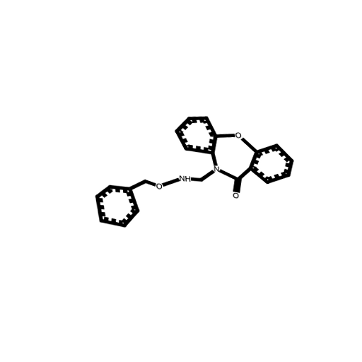 O=C1c2ccccc2Oc2ccccc2N1CNOCc1ccccc1